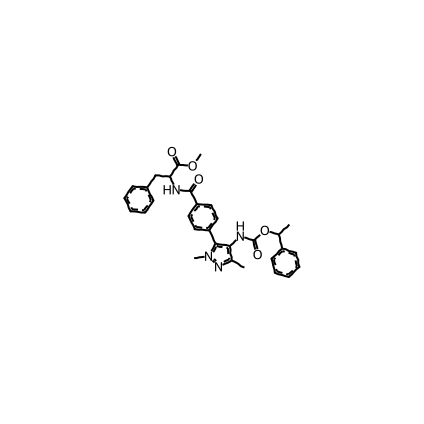 COC(=O)C(Cc1ccccc1)NC(=O)c1ccc(-c2c(NC(=O)OC(C)c3ccccc3)c(C)nn2C)cc1